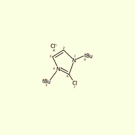 CC(C)(C)n1cc[n+](C(C)(C)C)c1Cl.[Cl-]